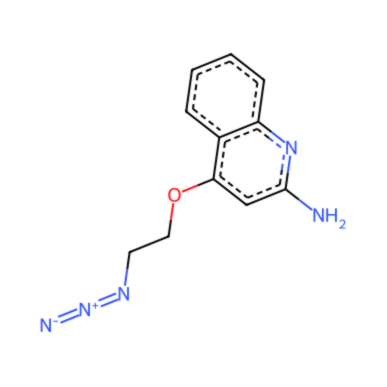 [N-]=[N+]=NCCOc1cc(N)nc2ccccc12